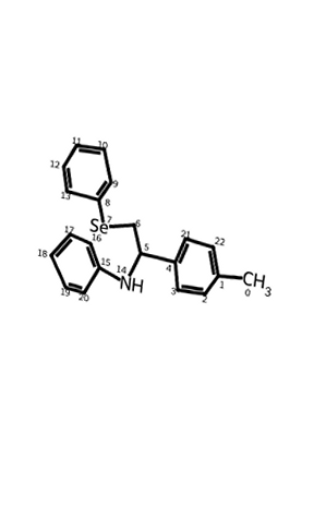 Cc1ccc(C(C[Se]c2ccccc2)Nc2ccccc2)cc1